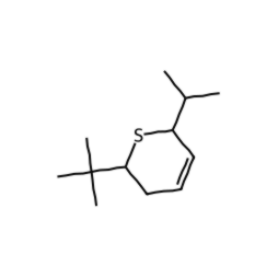 CC(C)C1C=CCC(C(C)(C)C)S1